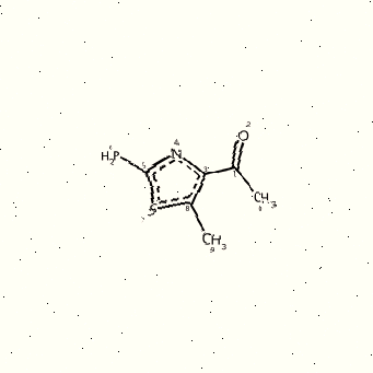 CC(=O)c1nc(P)sc1C